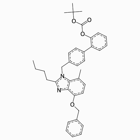 CCCCc1nc2c(OCc3ccccc3)ccc(C)c2n1Cc1ccc(-c2ccccc2OC(=O)OC(C)(C)C)cc1